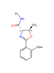 CCNC(=O)[C@H]1N=C(c2ccccc2OC)O[C@@H]1C